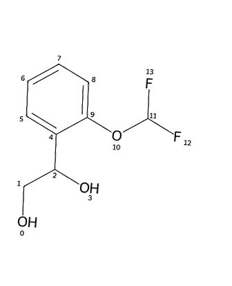 OCC(O)c1ccccc1OC(F)F